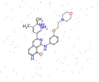 C=C(N)/C(C)=C\C(=C/N)c1cc2cc[nH]c(=O)c2c(Nc2cccc(OCCN3CCOCC3)c2)n1